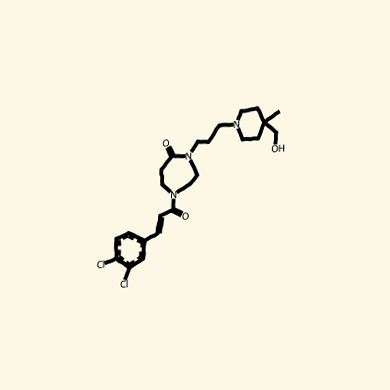 CC1(CO)CCN(CCCN2CCN(C(=O)C=Cc3ccc(Cl)c(Cl)c3)CCC2=O)CC1